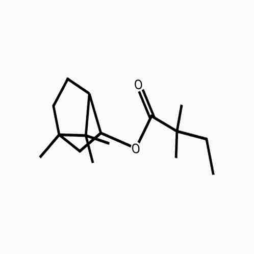 CCC(C)(C)C(=O)OC1CC2(C)CCC1C2(C)C